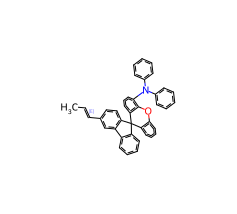 C/C=C/c1ccc2c(c1)-c1ccccc1C21c2ccccc2Oc2c(N(c3ccccc3)c3ccccc3)cccc21